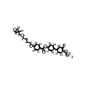 CC1(COCCCCOc2ccc(C(=O)Oc3ccc(-c4ccc(OC(F)(F)F)c(F)c4)cc3)cc2)COC1